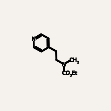 CCOC(=O)N(C)CCc1ccncc1